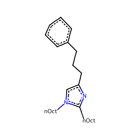 CCCCCCCCc1nc(CCCc2ccccc2)cn1CCCCCCCC